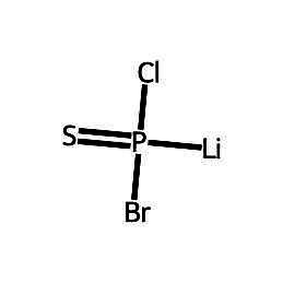 [Li][P](=S)(Cl)Br